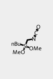 CCCC[Si](CN=C=O)(OC)OC